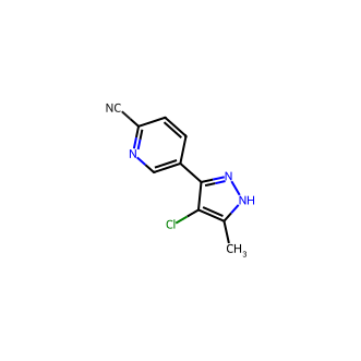 Cc1[nH]nc(-c2ccc(C#N)nc2)c1Cl